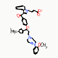 COc1ccccc1N1CCN(CC[C@H](Oc2ccc(C(=O)c3cn(CCCC(=O)[O-])c4ccccc34)cc2)c2ccc(C)cc2)CC1.[K+]